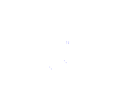 c1ccc2[nH]c(Cc3nc4ccccc4s3)nc2c1